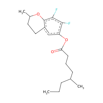 CCCC(C)CCCC(=O)Oc1cc2c(c(F)c1F)OC(C)CC2